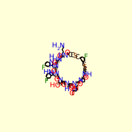 COc1ccc(C[C@@H]2NC(=O)[C@@H]([C@H](C)O)NC(=O)[C@@H]3C[C@H](O)CN3C(=O)[C@H](Cc3c[nH]c4ccc(F)cc34)NC(=O)[C@H](Cc3c[nH]c4ccc(F)cc34)NC(=O)[C@@H](C)NC(=O)[C@H](CCCCN)NC(=O)CCSCc3cc(F)cc(c3)CSCCNC(=O)[C@]3(C)CCCN3C2=O)cc1